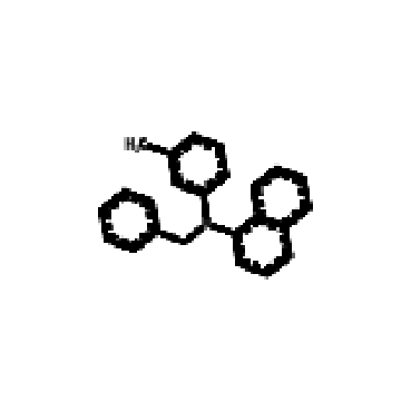 Cc1cccc(N(Cc2ccccc2)c2cccc3ccccc23)c1